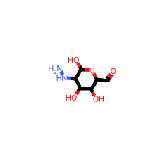 NNC1C(O)OC(C=O)C(O)C1O